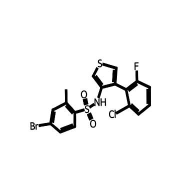 Cc1cc(Br)ccc1S(=O)(=O)Nc1cscc1-c1c(F)cccc1Cl